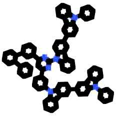 c1ccc(-c2ccccc2-c2cccc(-c3cc(-c4cccc(-n5c6ccccc6c6cc(-c7ccc8c(c7)c7ccccc7n8-c7ccccc7)ccc65)c4)nc(-n4c5ccccc5c5cc(-c6ccc7c(c6)c6ccccc6n7-c6ccccc6)ccc54)n3)c2)cc1